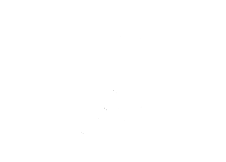 CC(C)CCOc1ccc(O)c(C(=O)NC(=O)CN)n1